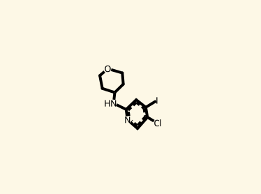 Clc1cnc(NC2CCOCC2)cc1I